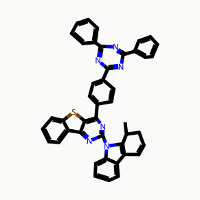 CC1CC=Cc2c1n(-c1nc(-c3ccc(-c4nc(-c5ccccc5)nc(-c5ccccc5)n4)cc3)c3sc4ccccc4c3n1)c1ccccc21